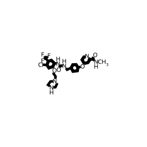 CNC(=O)c1cc(Oc2ccc(CNC(=O)Nc3cc(C(F)(F)F)c(Cl)cc3OCCN3CCNCC3)cc2)ccn1